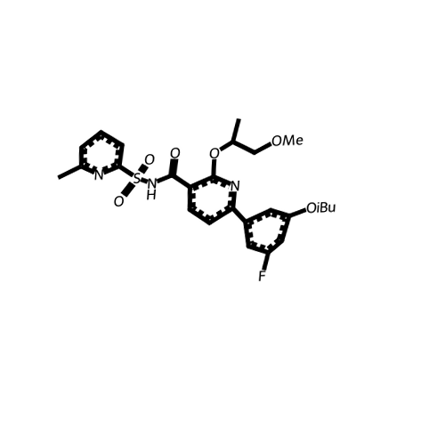 COCC(C)Oc1nc(-c2cc(F)cc(OCC(C)C)c2)ccc1C(=O)NS(=O)(=O)c1cccc(C)n1